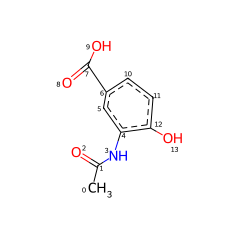 CC(=O)Nc1cc(C(=O)O)ccc1O